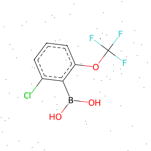 OB(O)c1c(Cl)cccc1OC(F)(F)F